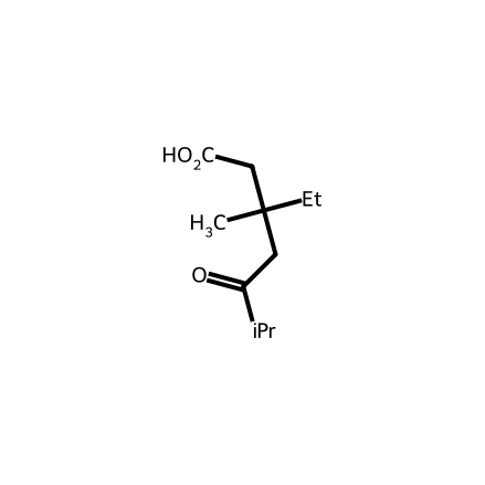 CCC(C)(CC(=O)O)CC(=O)C(C)C